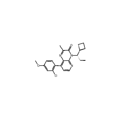 CC[C@@H](C1CCC1)n1c(=O)c(C)nc2c(-c3ccc(OC)cc3Cl)ccnc21